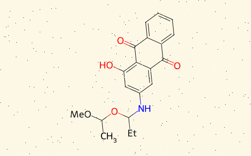 CCC(Nc1cc(O)c2c(c1)C(=O)c1ccccc1C2=O)OC(C)OC